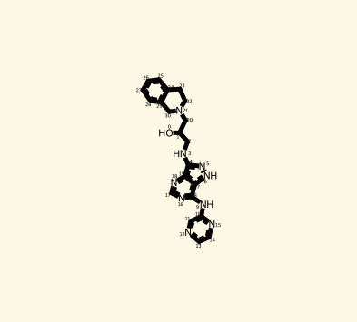 OC(CNc1n[nH]c2c(Nc3cnccn3)ncnc12)CN1CCc2ccccc2C1